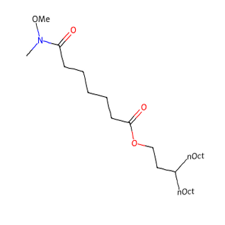 CCCCCCCCC(CCCCCCCC)CCOC(=O)CCCCCC(=O)N(C)OC